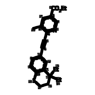 CCOC(=O)c1cnc(C#Cc2ccc3c(c2)C(CC)(CC)CCS3)c(C)c1